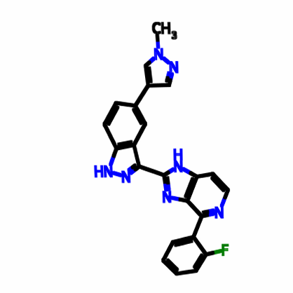 Cn1cc(-c2ccc3[nH]nc(-c4nc5c(-c6ccccc6F)nccc5[nH]4)c3c2)cn1